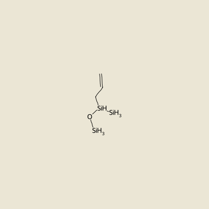 C=CC[SiH]([SiH3])O[SiH3]